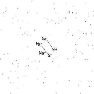 N#CS.N#C[S-].[Na+]